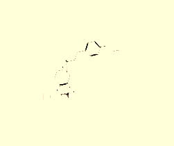 CCOc1ccc(CCC(=O)N2CCc3c(nnn3C)C2)cc1